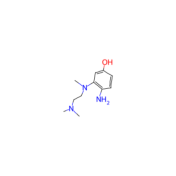 CN(C)CCN(C)c1cc(O)ccc1N